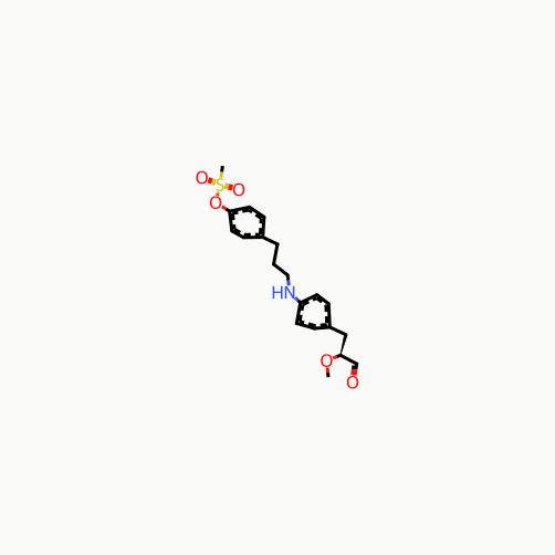 CO[C@H](C=O)Cc1ccc(NCCCc2ccc(OS(C)(=O)=O)cc2)cc1